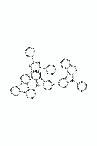 c1ccc(-c2nc(-c3ccccc3)nc(-c3ccc4c5ccccc5c5cccc(-n6c7ccccc7c7cc(-c8ccc9c(c8)c8c%10ccccc%10ccc8n9-c8ccccc8)ccc76)c5c4c3)n2)cc1